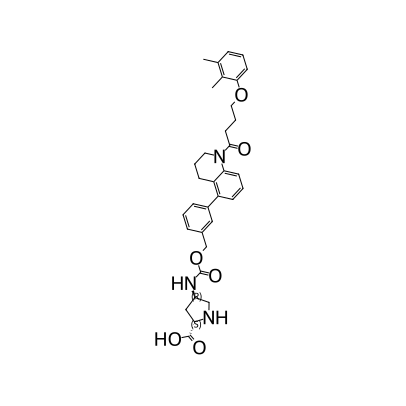 Cc1cccc(OCCCC(=O)N2CCCc3c(-c4cccc(COC(=O)N[C@H]5CN[C@H](C(=O)O)C5)c4)cccc32)c1C